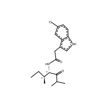 CC[C@H](C)[C@H](NC(=O)Cc1c[nH]c2ccc(Cl)cc12)C(=O)C(C)C